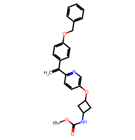 C=C(c1ccc(OCc2ccccc2)cc1)c1ccc(OC2CC(NC(=O)OC(C)(C)C)C2)cn1